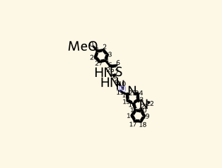 COc1ccc(C2=CSC(N/N=C/c3cc4c5ccccc5n(C)c4cn3)N2)cc1